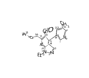 CCn1ncc2c(-c3cncc(C)c3)c(C=O)c(COC(C)C)nc21